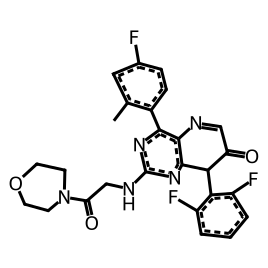 Cc1cc(F)ccc1-c1nc(NCC(=O)N2CCOCC2)nc2c1N=CC(=O)C2c1c(F)cccc1F